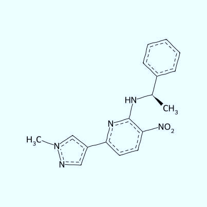 C[C@@H](Nc1nc(-c2cnn(C)c2)ccc1[N+](=O)[O-])c1ccccc1